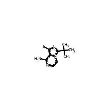 CC(C)(C)c1nc(I)c2c(N)nccn12